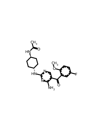 COc1ccc(F)cc1C(=O)c1cnc(N[C@H]2CC[C@H](NC(C)=O)CC2)nc1N